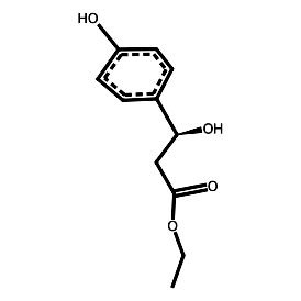 CCOC(=O)C[C@H](O)c1ccc(O)cc1